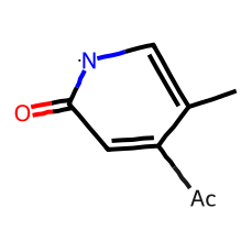 CC(=O)C1=CC(=O)[N]C=C1C